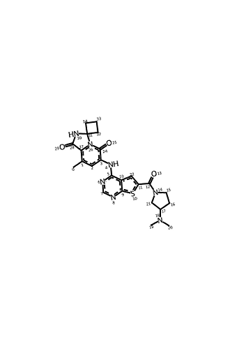 Cc1cc(Nc2ncnc3sc(C(=O)N4CCC(N(C)C)C4)cc23)c(=O)n2c1C(=O)NC21CCC1